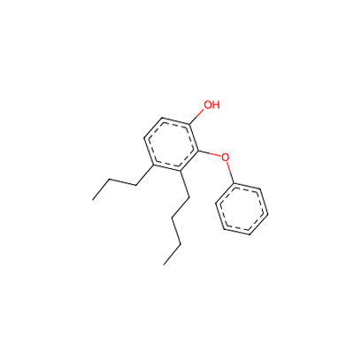 CCCCc1c(CCC)ccc(O)c1Oc1ccccc1